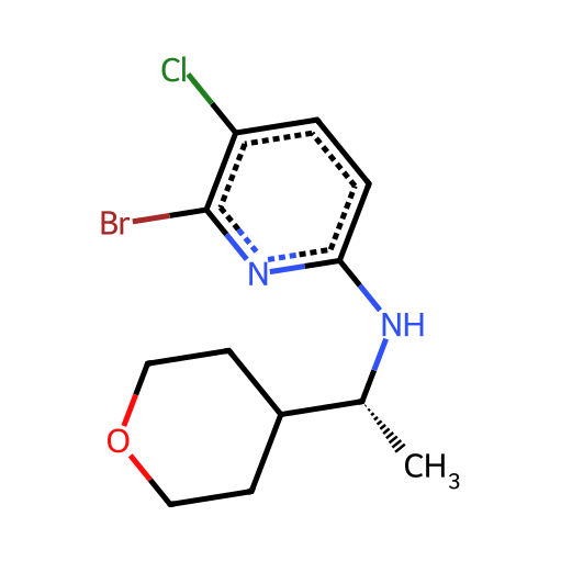 C[C@@H](Nc1ccc(Cl)c(Br)n1)C1CCOCC1